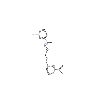 CC(=O)c1cccc(CCCO/N=C(\C)c2cccc(C)n2)n1